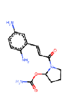 NC(=O)OC1CCCN1C(=O)C=Cc1cc(N)ccc1N